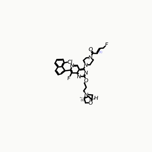 C[C@]12CO[C@H](CN1CCCOc1nc(N3CCN(C(=O)/C=C/CF)CC3)c3cnc(-c4cccc5cccc(Cl)c45)c(F)c3n1)C2